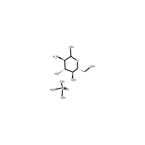 N[C@H]1C(O)O[C@H](CO)[C@@H](O)[C@@H]1O.O=P(O)(O)O